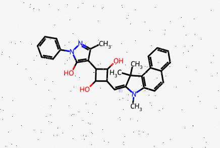 Cc1nn(-c2ccccc2)c(O)c1C1C(O)C(/C=C2/N(C)c3ccc4ccccc4c3C2(C)C)C1O